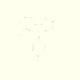 Cc1ccc(SC2(C(=O)O)CC(=O)NC2c2cccc(Cl)c2)cc1